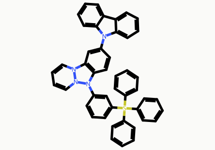 C1=CN2c3cc(-n4c5ccccc5c5ccccc54)ccc3N(c3cccc(S(c4ccccc4)(c4ccccc4)c4ccccc4)c3)N2C=C1